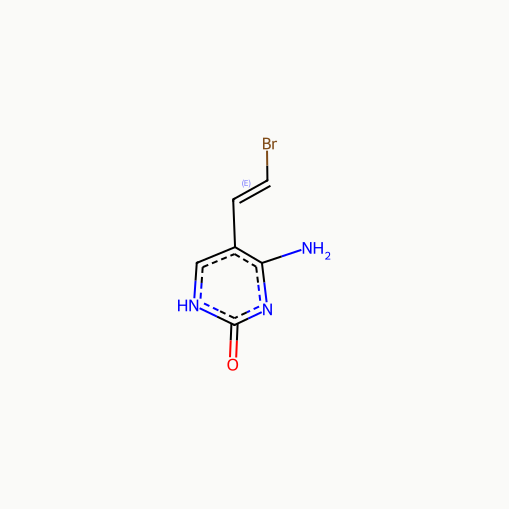 Nc1nc(=O)[nH]cc1/C=C/Br